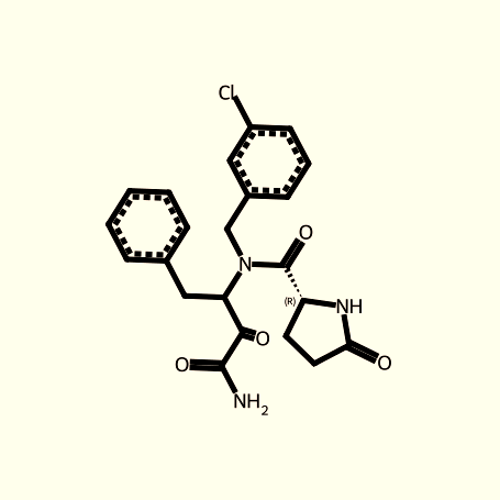 NC(=O)C(=O)C(Cc1ccccc1)N(Cc1cccc(Cl)c1)C(=O)[C@H]1CCC(=O)N1